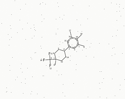 Cc1cc(C2CCC(C)(C(F)(F)F)CC2)cc(C)c1C